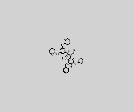 CC(C)CN(C[C@@H](O)[C@H](Cc1ccccc1)NC(=O)OC1CCOC1)S(=O)(=O)c1cc(OC2CCCCO2)cc(OC2CCCCO2)c1